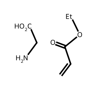 C=CC(=O)OCC.NCC(=O)O